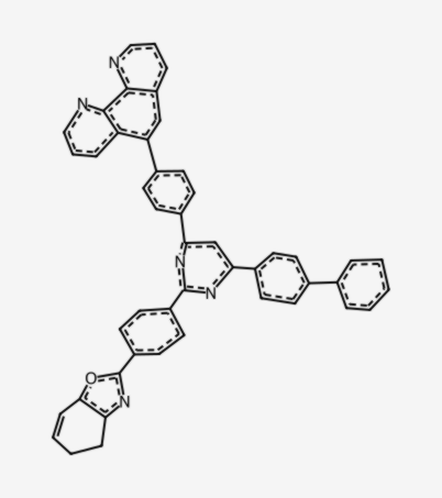 C1=Cc2oc(-c3ccc(-c4nc(-c5ccc(-c6ccccc6)cc5)cc(-c5ccc(-c6cc7cccnc7c7ncccc67)cc5)n4)cc3)nc2CC1